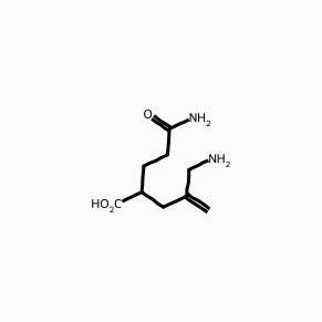 C=C(CN)CC(CCC(N)=O)C(=O)O